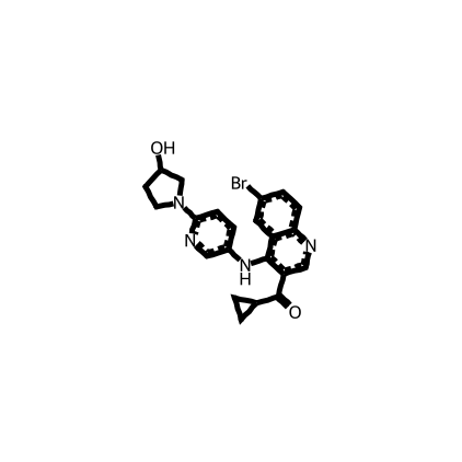 O=C(c1cnc2ccc(Br)cc2c1Nc1ccc(N2CCC(O)C2)nc1)C1CC1